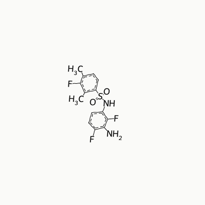 Cc1ccc(S(=O)(=O)Nc2ccc(F)c(N)c2F)c(C)c1F